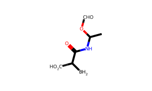 BC(C(=O)O)C(=O)NC(C)OC=O